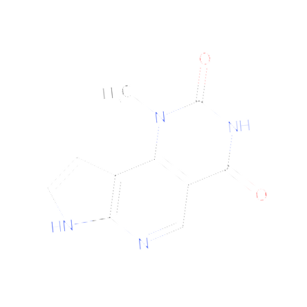 Cn1c(=O)[nH]c(=O)c2cnc3[nH]ccc3c21